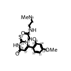 CNCCNC(=O)Cn1c(-c2ccc(OC)cc2O)cc(=O)[nH]c1=S